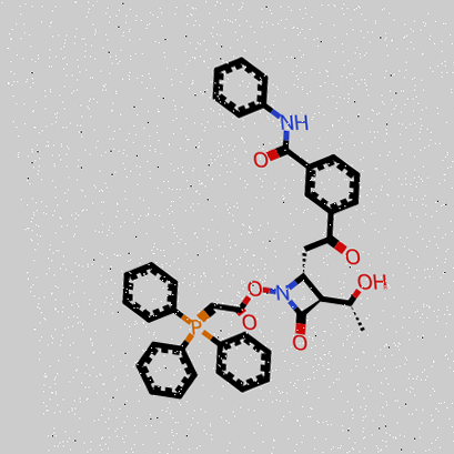 C[C@@H](O)[C@H]1C(=O)N(OC(=O)C=P(c2ccccc2)(c2ccccc2)c2ccccc2)[C@@H]1CC(=O)c1cccc(C(=O)Nc2ccccc2)c1